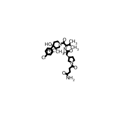 CC(C)[C@@H](NC(=O)C[C@H]1CCN(C(=O)CCC(N)=O)C1)C(=O)N1CC[C@](O)(c2ccc(Cl)cc2)C(C)(C)C1